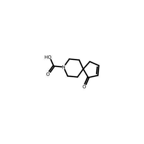 O=C(O)N1CCC2(CC=CC2=O)CC1